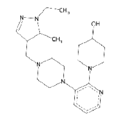 CCN1N=CC(CN2CCN(c3cccnc3N3CCC(O)CC3)CC2)C1C